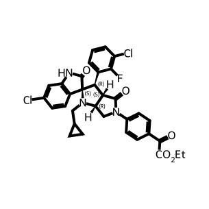 CCOC(=O)C(=O)c1ccc(N2C[C@H]3[C@@H](C2=O)[C@H](c2cccc(Cl)c2F)[C@]2(C(=O)Nc4cc(Cl)ccc42)N3CC2CC2)cc1